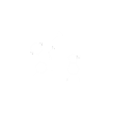 Cc1cc(F)cc(-c2nccnc2C(=O)N(CCc2c[nH]c3cc(F)c(F)cc23)CC2CC2)c1